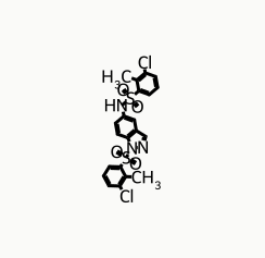 Cc1c(Cl)cccc1S(=O)(=O)Nc1ccc2c(cnn2S(=O)(=O)c2cccc(Cl)c2C)c1